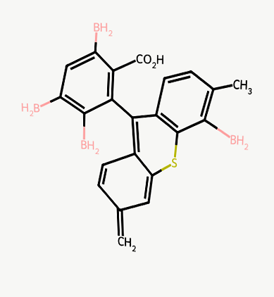 Bc1cc(B)c(C(=O)O)c(C2=c3ccc(=C)cc3Sc3c2ccc(C)c3B)c1B